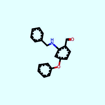 O=Cc1ccc(Oc2ccccc2)cc1NCc1ccccc1